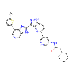 CC(=O)c1ccc(-c2cncc3[nH]c(-c4n[nH]c5ccc(-c6cncc(NC(=O)CC7CCCCC7)c6)nc45)nc23)s1